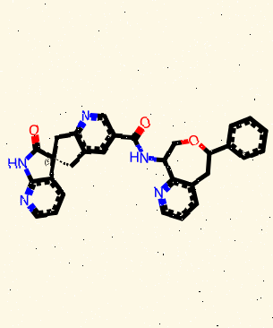 O=C(NC1COC(c2ccccc2)Cc2cccnc21)c1cnc2c(c1)C[C@@]1(C2)C(=O)Nc2ncccc21